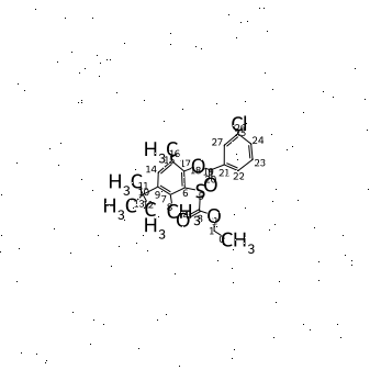 CCOC(=O)Sc1c(C)c(C(C)(C)C)cc(C)c1OC(=O)c1cccc(Cl)c1